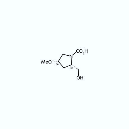 CO[C@H]1C[C@@H](CO)N(C(=O)O)C1